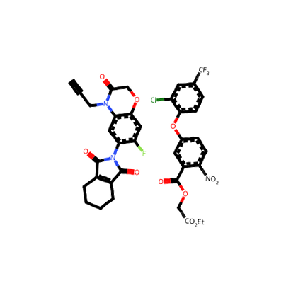 C#CCN1C(=O)COc2cc(F)c(N3C(=O)C4=C(CCCC4)C3=O)cc21.CCOC(=O)COC(=O)c1cc(Oc2ccc(C(F)(F)F)cc2Cl)ccc1[N+](=O)[O-]